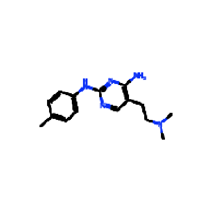 Cc1ccc(Nc2ncc(CCN(C)C)c(N)n2)cc1